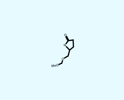 COCOCC1CCC(=O)[N]1